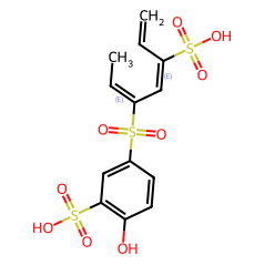 C=C/C(=C\C(=C/C)S(=O)(=O)c1ccc(O)c(S(=O)(=O)O)c1)S(=O)(=O)O